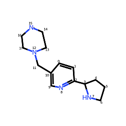 c1cc(C2CCCN2)ncc1CN1CC[N]CC1